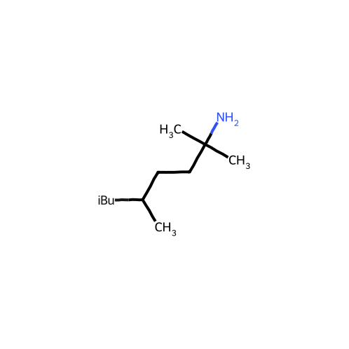 CCC(C)C(C)CCC(C)(C)N